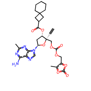 C#C[C@]1(COC(=O)OCc2oc(=O)oc2C)O[C@@H](n2cnc3c(N)nc(C)nc32)C[C@@H]1OC(=O)C1CC2(CCCCC2)C1